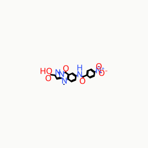 Cn1c2ccc(NC(=O)c3ccc([N+](=O)[O-])cc3)cc2c(=O)n2nc(C(=O)O)cc12